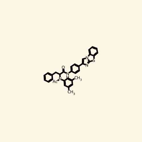 CC(=O)N(c1cc(C)cc(C)c1)C(Cc1ccccc1)C(=O)Nc1ccc(-c2cn3c(n2)sc2ccccc23)cc1